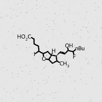 CCCCC(F)C(O)/C=C/[C@H]1C(C)CC2OC(C(I)CCCC(=O)O)C[C@@H]21